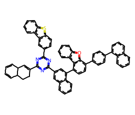 C1=CC2C=C(c3nc(-c4cc(-c5ccc(-c6ccc(-c7cccc8ccccc78)cc6)c6oc7ccccc7c56)c5ccccc5c4)nc(-c4ccc5sc6ccccc6c5c4)n3)CCC2C=C1